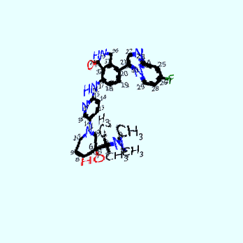 CN(C)C(C)(C)[C@]1(O)CCCN(c2ccc(Nc3ccc(-c4cnc5cc(F)ccn45)c4c3C(=O)NC4)nc2)C1